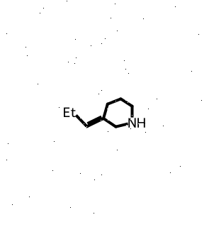 CCC=C1CCCNC1